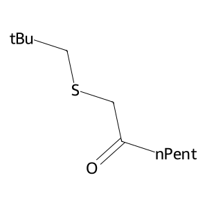 CCCCCC(=O)CSCC(C)(C)C